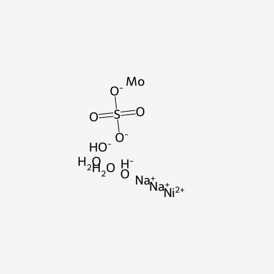 O.O.O=S(=O)([O-])[O-].[Mo].[Na+].[Na+].[Ni+2].[OH-].[OH-]